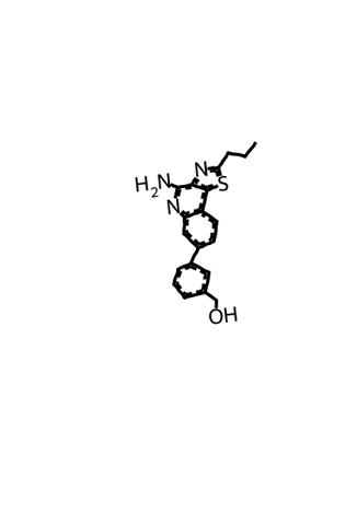 CCCc1nc2c(N)nc3cc(-c4cccc(CO)c4)ccc3c2s1